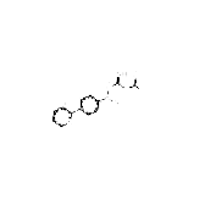 N=C(NC(=O)O)OB(O)c1ccc(-c2ccccn2)cc1